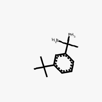 BC(C)(P)c1cccc(C(C)(C)C)c1